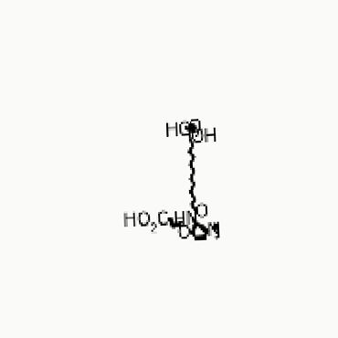 CN(C)c1ccc(OCCCC(=O)O)c(NC(=O)CCCCCCCCCCCP(=O)(O)O)c1